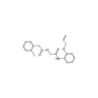 C=CCOc1ccccc1NC(=O)COC(=O)Cc1ccccc1I